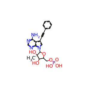 C[C@@]1(O)C(O)C(COP(=O)(O)O)OC1n1cc(C#Cc2ccccc2)c2c(N)ncnc21